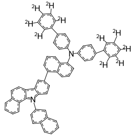 [2H]c1c([2H])c([2H])c(-c2ccc(N(c3ccc(-c4c([2H])c([2H])c([2H])c([2H])c4[2H])cc3)c3cccc4c(-c5ccc6c(c5)c5ccc7ccccc7c5n6-c5ccc6ccccc6c5)cccc34)cc2)c([2H])c1[2H]